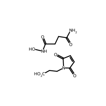 NC(=O)CCC(=O)NO.O=C(O)CCN1C(=O)C=CC1=O